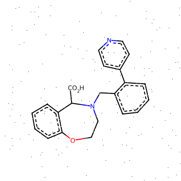 O=C(O)C1c2ccccc2OCCN1Cc1ccccc1-c1ccncc1